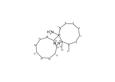 CC1CCCCCSC(N)(C2CCCCCCCC2)C1(C)N